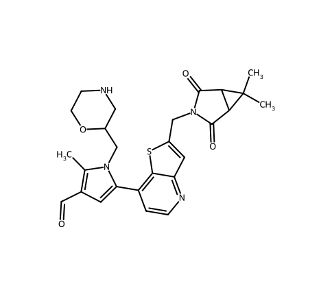 Cc1c(C=O)cc(-c2ccnc3cc(CN4C(=O)C5C(C4=O)C5(C)C)sc23)n1CC1CNCCO1